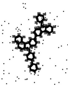 c1ccc(-c2ccc(-n3c4ccc(-c5ccc6c(c5)c5ccccc5n6-c5ccccc5)cc4c4c5ccccc5ccc43)cc2)cc1